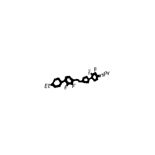 CCCc1ccc(-c2ccc(CCc3ccc(C4CCC(CC)CC4)c(F)c3F)cc2)c(F)c1F